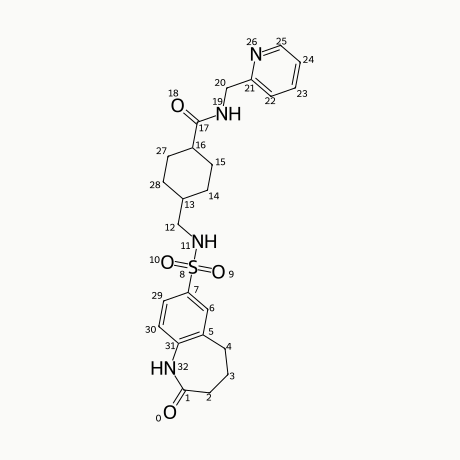 O=C1CCCc2cc(S(=O)(=O)NCC3CCC(C(=O)NCc4ccccn4)CC3)ccc2N1